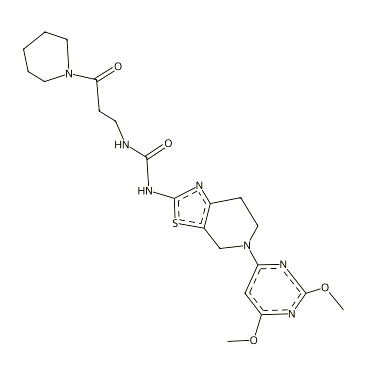 COc1cc(N2CCc3nc(NC(=O)NCCC(=O)N4CCCCC4)sc3C2)nc(OC)n1